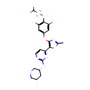 Cc1nc(Oc2cc(F)c(NS(=O)(=O)C(F)F)c(F)c2)c(-c2ccnc(N[C@@H]3CNC[C@@H](F)C3)n2)s1